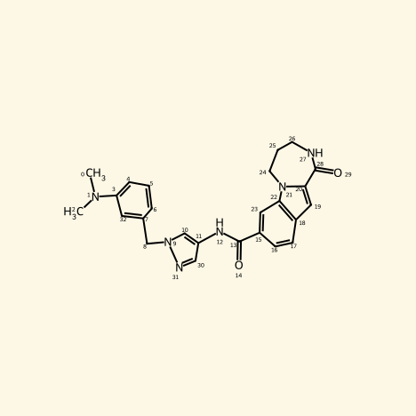 CN(C)c1cccc(Cn2cc(NC(=O)c3ccc4cc5n(c4c3)CCCNC5=O)cn2)c1